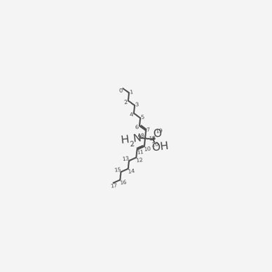 CCCCCCC=CC(N)(C=CCCCCCC)C(=O)O